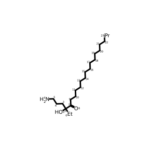 [CH2]CC(O)(CCCN)C(=O)CCCCCCCCCCCCCCC(C)C